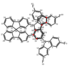 Fc1ccc2c(c1)c1cc(F)ccc1n2-c1nc(-c2ccc3c(c2)C2(c4ccccc4-3)c3ccccc3-c3ccc(-n4c5ccccc5c5ccccc54)cc32)nc(-n2c3ccc(F)cc3c3cc(F)ccc32)n1